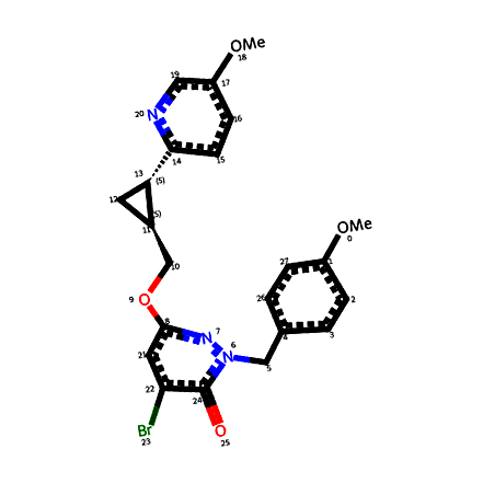 COc1ccc(Cn2nc(OC[C@H]3C[C@@H]3c3ccc(OC)cn3)cc(Br)c2=O)cc1